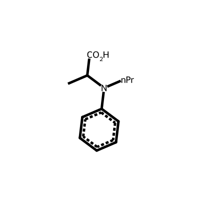 CCCN(c1ccccc1)C(C)C(=O)O